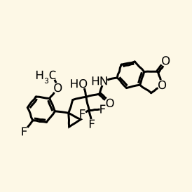 COc1ccc(F)cc1C1(CC(O)(C(=O)Nc2ccc3c(c2)COC3=O)C(F)(F)F)CC1